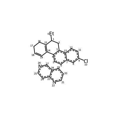 CCC1Cc2c(ccc3cc(Cl)ccc23)C2=C1CCC=C2.c1cnc2ccncc2c1